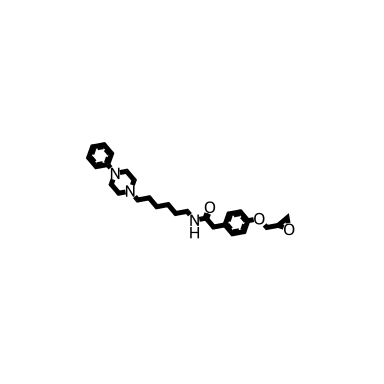 O=C(Cc1ccc(OCC2CO2)cc1)NCCCCCCN1CCN(c2ccccc2)CC1